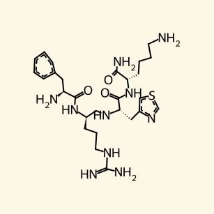 N=C(N)NCCC[C@H](CN[C@@H](Cc1cscn1)C(=O)N[C@@H](CCCCN)C(N)=O)NC(=O)[C@@H](N)Cc1ccccc1